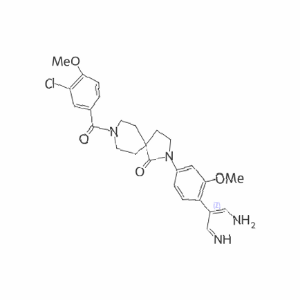 COc1ccc(C(=O)N2CCC3(CC2)CCN(c2ccc(/C(C=N)=C/N)c(OC)c2)C3=O)cc1Cl